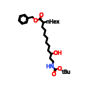 CCCCCCC(CCCCCCCC(O)CCNC(=O)OC(C)(C)C)C(=O)OCc1ccccc1